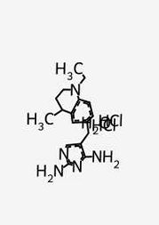 CCN1CCC(C)c2cc(Cc3cnc(N)nc3N)ccc21.Cl.Cl.O